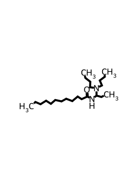 CCCCCCCCCCCC(=O)NC(CC)N(CCCC)CCCC